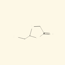 O=C1CSC(CO)O1